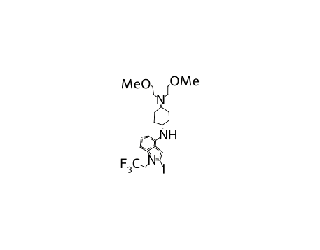 COCCN(CCOC)[C@H]1CC[C@H](Nc2cccc3c2cc(I)n3CC(F)(F)F)CC1